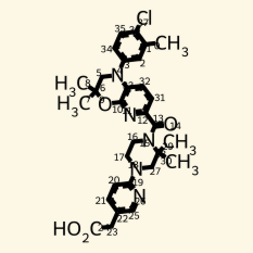 Cc1cc(N2CC(C)(C)Oc3nc(C(=O)N4CCN(c5ccc(CC(=O)O)cn5)CC4(C)C)ccc32)ccc1Cl